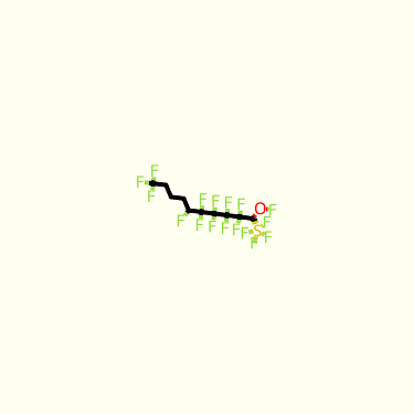 FOC(C(F)(F)C(F)(F)C(F)(F)C(F)(F)C(F)CCCC(F)(F)F)=S(F)(F)(F)F